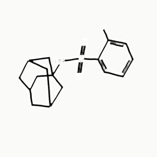 Cc1ccccc1S(=O)(=O)NC12CC3CC(CC(C3)C1)C2